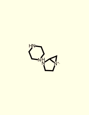 C1CNCC[N]1.C1C[N+]2CC2N1